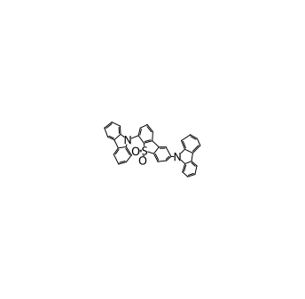 O=S1(=O)c2ccc(-n3c4ccccc4c4ccccc43)cc2-c2cccc(-n3c4ccccc4c4ccccc43)c21